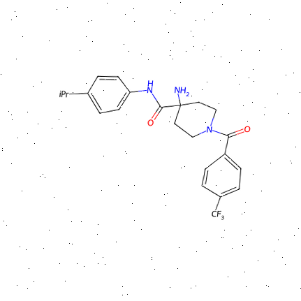 CC(C)c1ccc(NC(=O)C2(N)CCN(C(=O)c3ccc(C(F)(F)F)cc3)CC2)cc1